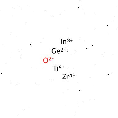 [Ge+2].[In+3].[O-2].[Ti+4].[Zr+4]